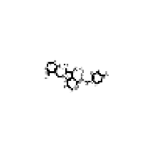 Cc1c(C)n(Cc2ccccc2F)c2ccnc(NCc3ccc(F)cc3)c12